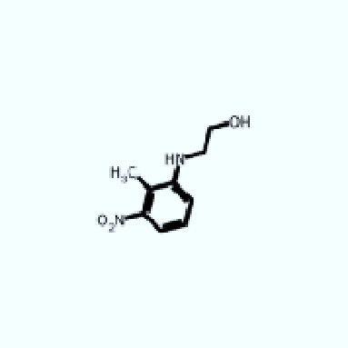 Cc1c(NCCO)cccc1[N+](=O)[O-]